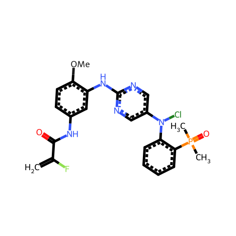 C=C(F)C(=O)Nc1ccc(OC)c(Nc2ncc(N(Cl)c3ccccc3P(C)(C)=O)cn2)c1